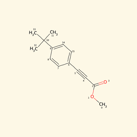 COC(=O)C#Cc1ccc(C(C)(C)C)cc1